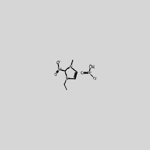 CCN1C=CN(C)C1[N+](=O)[O-].O=[N+]([O-])O